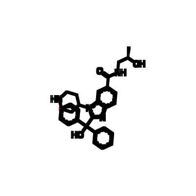 C[C@@H](O)CNC(=O)c1ccc2nc(C(O)(c3ccccc3)c3ccccc3)n(C3CCNCC3)c2c1